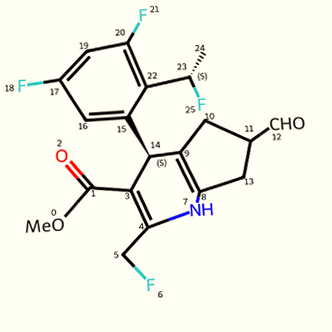 COC(=O)C1=C(CF)NC2=C(CC(C=O)C2)[C@@H]1c1cc(F)cc(F)c1[C@H](C)F